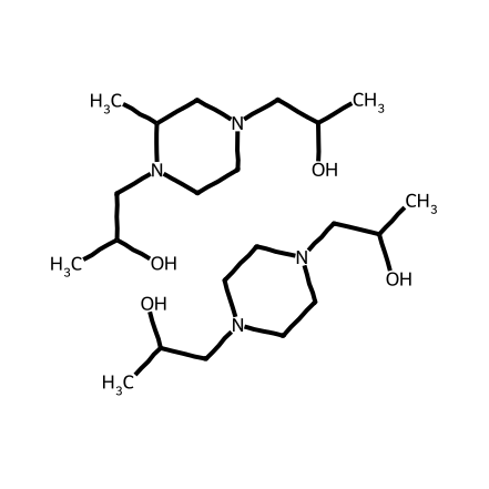 CC(O)CN1CCN(CC(C)O)C(C)C1.CC(O)CN1CCN(CC(C)O)CC1